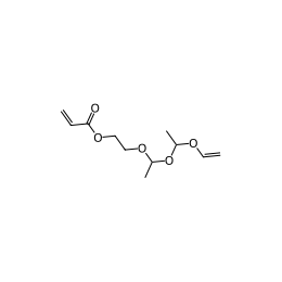 C=COC(C)OC(C)OCCOC(=O)C=C